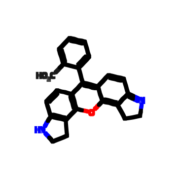 O=C(O)c1ccccc1C1=c2ccc3c(c2Oc2c1ccc1c2CCN1)CCN=3